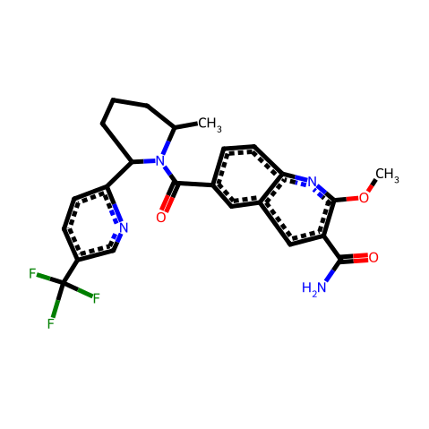 COc1nc2ccc(C(=O)N3C(C)CCCC3c3ccc(C(F)(F)F)cn3)cc2cc1C(N)=O